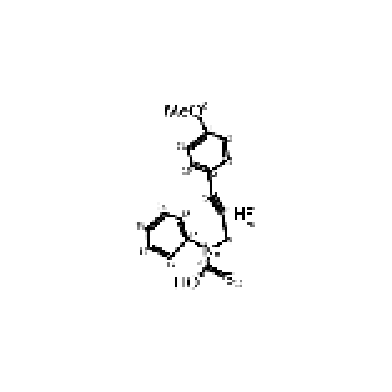 COc1ccc(C#CCN(C(O)=S)c2ccccc2)cc1.F